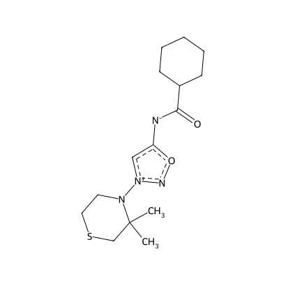 CC1(C)CSCCN1[n+]1cc([N-]C(=O)C2CCCCC2)on1